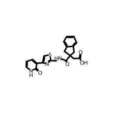 O=C(O)CC1(C(=O)NCc2nc(-c3ccc[nH]c3=O)cs2)Cc2ccccc2C1